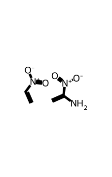 C=C(N)[N+](=O)[O-].C=C[N+](=O)[O-]